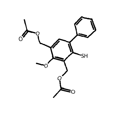 COc1c(COC(C)=O)cc(-c2ccccc2)c(S)c1COC(C)=O